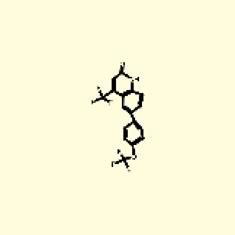 O=c1cc(C(F)(F)F)c2cc(-c3ccc(OC(F)(F)F)cc3)ccc2[nH]1